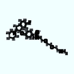 NCCOCCOCCN[S+]([O-])c1ccc(O[C@H]2c3cc(F)ccc3C[C@@H]2N2CCCCC2)cc1